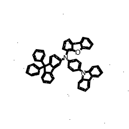 c1ccc(C2(c3ccccc3)c3ccccc3-c3cc(N(c4ccc(-n5c6ccccc6c6ccccc65)cc4)c4cccc5c4oc4ccccc45)ccc32)cc1